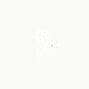 CC=CC(=O)OCC(ON1C(C)(C)CCCC1(C)C)c1ccccc1